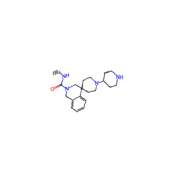 CC(C)(C)NC(=O)N1Cc2ccccc2C2(CCN(C3CCNCC3)CC2)C1